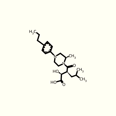 CCCc1ccc(N2CCN(C(=O)[C@@H](CC(C)C)[C@H](O)C(=O)O)[C@H](C)C2)cc1